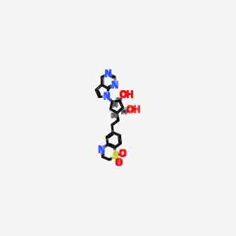 O=S1(=O)CC=Nc2cc(CC[C@H]3C[C@@H](n4ccc5cncnc54)[C@H](O)[C@@H]3O)ccc21